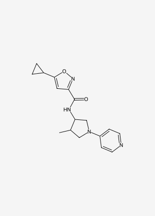 CC1CN(c2ccncc2)CC1NC(=O)c1cc(C2CC2)on1